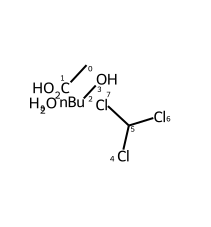 CC(=O)O.CCCCO.ClC(Cl)Cl.O